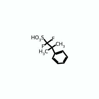 CC(C)(c1ccccc1)C(F)(F)S(=O)(=O)O